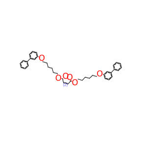 O=C(/C=C\C(=O)OCCCCCCOc1cccc(-c2ccccc2)c1)OCCCCCCOc1cccc(-c2ccccc2)c1